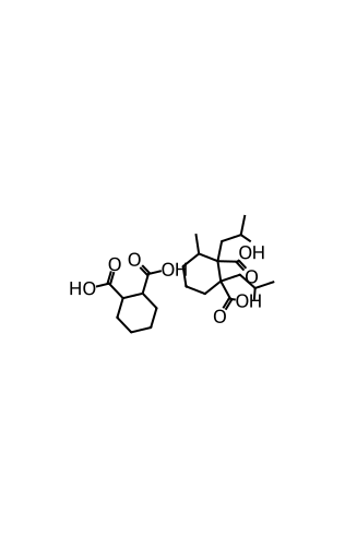 CC(C)CC1(C(=O)O)CCCC(C)C1(CC(C)C)C(=O)O.O=C(O)C1CCCCC1C(=O)O